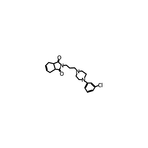 O=C1C2CC=CCC2C(=O)N1CCCN1CCN(c2cccc(Cl)c2)CC1